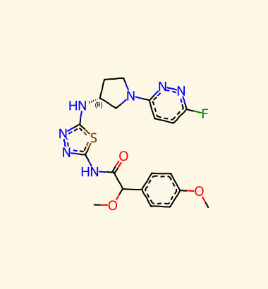 COc1ccc(C(OC)C(=O)Nc2nnc(N[C@@H]3CCN(c4ccc(F)nn4)C3)s2)cc1